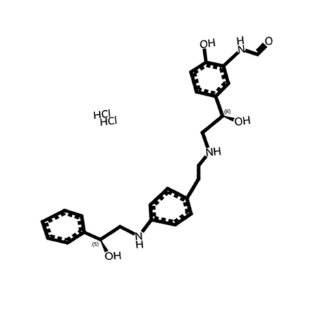 Cl.Cl.O=CNc1cc([C@@H](O)CNCCc2ccc(NC[C@@H](O)c3ccccc3)cc2)ccc1O